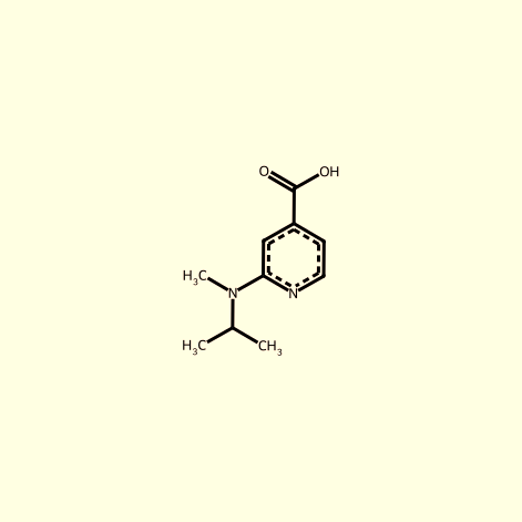 CC(C)N(C)c1cc(C(=O)O)ccn1